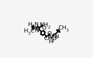 CC(C(=O)Nc1cc(C23CC(C)(C2)C3)no1)c1ccc(-c2nn(C3(C)CC3)c(N)c2C(N)=O)cc1